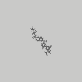 Cc1nc2c(F)cc(-c3nc(Nc4ccc5c(n4)CCN(C(=O)CNC(=O)OC(C)(C)C)C5)ncc3F)cc2n1C(C)C